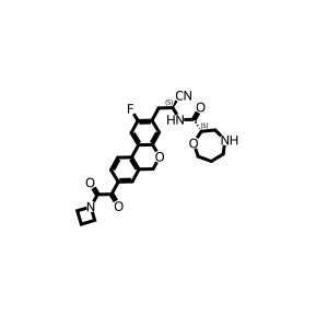 N#C[C@H](Cc1cc2c(cc1F)-c1ccc(C(=O)C(=O)N3CCC3)cc1CO2)NC(=O)[C@@H]1CNCCCO1